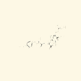 Cc1ccc(CCNC(=O)CC[C@H](OC(=O)N[C@@H](CCC(=O)O)C(=O)O)C(=O)O)cc1